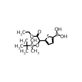 CCOC(=O)C(O[Si](C)(C)C(C)(C)C)c1ccc(B(O)O)s1